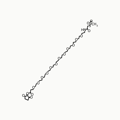 CS(=O)(=O)SCC(=O)NCCOCCOCCOCCOCCOCCOCCOCCOCCOCCOCCOCCOCCC(=O)ON1C(=O)CCC1=O